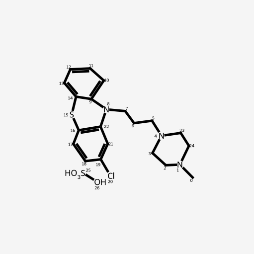 CN1CCN(CCCN2c3ccccc3Sc3ccc(Cl)cc32)CC1.O=S(=O)(O)O